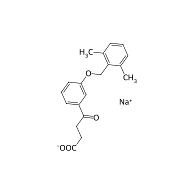 Cc1cccc(C)c1COc1cccc(C(=O)CCC(=O)[O-])c1.[Na+]